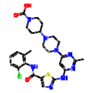 Cc1nc(Nc2ncc(C(=O)Nc3c(C)cccc3Cl)s2)cc(N2CCN(C3CCN(C(=O)O)CC3)CC2)n1